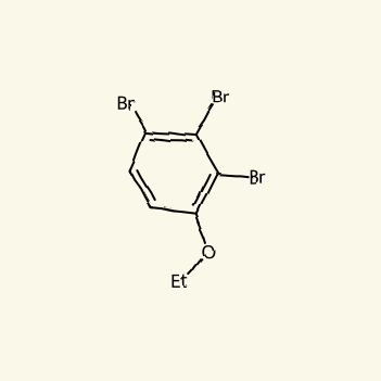 CCOc1ccc(Br)c(Br)c1Br